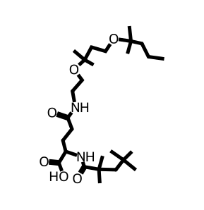 CCCC(C)(C)OCCC(C)(C)OCCNC(=O)CCC(NC(=O)C(C)(C)CC(C)(C)C)C(=O)O